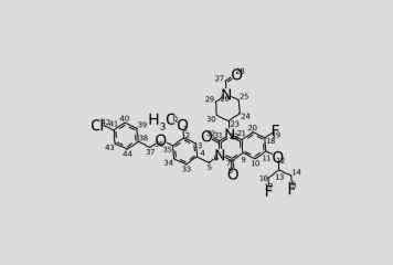 COc1cc(Cn2c(=O)c3cc(OC(CF)CF)c(F)cc3n(C3CCN(C=O)CC3)c2=O)ccc1OCc1ccc(Cl)cc1